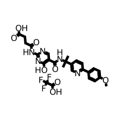 COc1ccc(-c2ccc(C(C)(C)NC(=O)c3cnc(NC(=O)CCC(=O)O)nc3O)cn2)cc1.O=C(O)C(F)(F)F